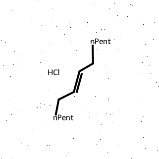 CCCCCCC=CCCCCCC.Cl